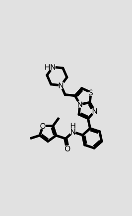 Cc1cc(C(=O)Nc2ccccc2-c2cn3c(CN4CCNCC4)csc3n2)c(C)o1